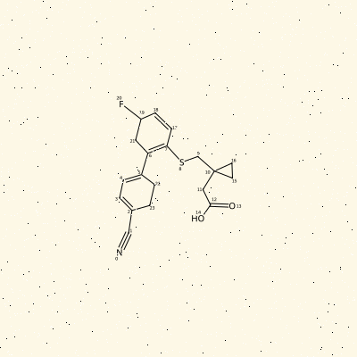 N#CC1=CC=C(C2=C(SCC3(CC(=O)O)CC3)C=CC(F)C2)CC1